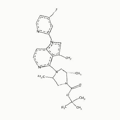 Cc1cn(-c2cc(F)ccn2)c2ccnc(N3C[C@H](C)N(C(=O)OC(C)(C)C)CC3C)c12